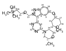 C[C@@H]1CN(c2cc(-c3c4cc(OC5CCOCC5)ccc4nn3COCC[Si](C)(C)C)ncn2)C[C@H](C)O1